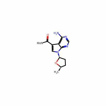 CNC(=O)c1cn([C@H]2CC[C@@H](C)O2)c2ncnc(N)c12